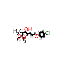 C=C(C(=O)OC)C(O)CCCCOc1ccc(Cl)cc1